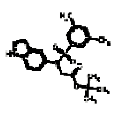 Cc1cc(C)cc(S(=O)(=O)N(CC(=O)OC(C)(C)C)c2ccc3[nH]ccc3c2)c1